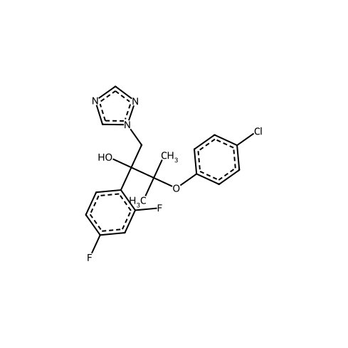 CC(C)(Oc1ccc(Cl)cc1)C(O)(Cn1cncn1)c1ccc(F)cc1F